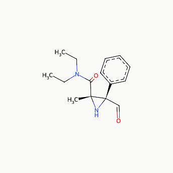 CCN(CC)C(=O)[C@@]1(C)N[C@]1(C=O)c1ccccc1